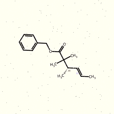 C/C=C/[C@H](C)C(C)(C)C(=O)OCc1ccccc1